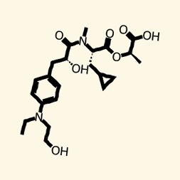 CCN(CCO)c1ccc(C[C@@H](O)C(=O)N(C)[C@@H](CC2CC2)C(=O)O[C@H](C)C(=O)O)cc1